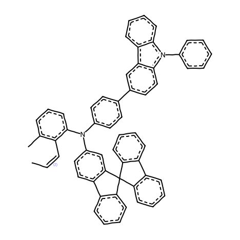 C/C=C\c1c(C)cccc1N(c1ccc(-c2ccc3c(c2)c2ccccc2n3-c2ccccc2)cc1)c1ccc2c(c1)C1(c3ccccc3-c3ccccc31)c1ccccc1-2